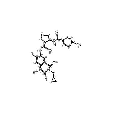 CC(C)n1c(=O)n(CC2CC2)c(=O)c2cc(NC(=O)C3COCC3NC(=O)c3ccc(C#N)cc3)c(F)cc21